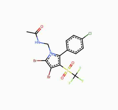 CC(=O)NCn1c(Br)c(Br)c(S(=O)(=O)C(F)(F)F)c1-c1ccc(Cl)cc1